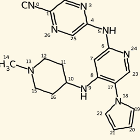 [C-]#[N+]c1cnc(Nc2cc(NC3CCN(C)CC3)c(-n3cccc3)cn2)cn1